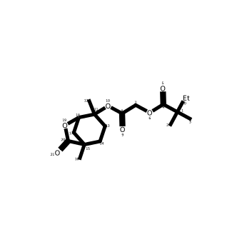 CCC(C)(C)C(=O)OCC(=O)OC1(C)CCC2(C)CC1OC2=O